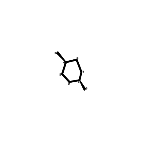 [CH2][C@H]1CC[C@@H]([CH2])CC1